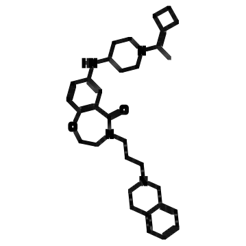 CC(=C1CCC1)N1CCC(Nc2ccc3c(c2)C(=O)N(CCCN2CCc4ccccc4C2)CCO3)CC1